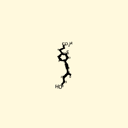 C/C(C#Cc1ccc(CCC(=O)O)c(F)c1)=C\CO